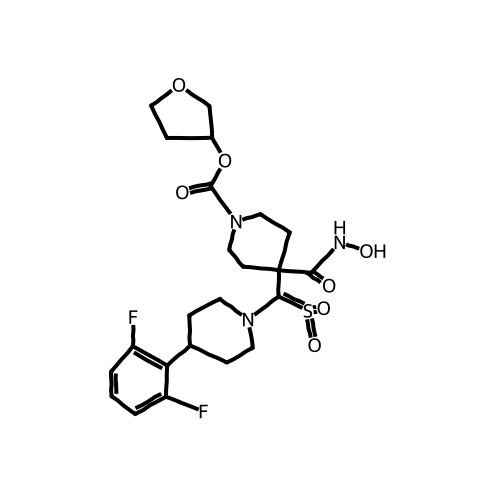 O=C(OC1CCOC1)N1CCC(C(=O)NO)(C(N2CCC(c3c(F)cccc3F)CC2)=S(=O)=O)CC1